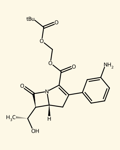 C[C@@H](O)[C@H]1C(=O)N2C(C(=O)OCOC(=O)C(C)(C)C)=C(c3cccc(N)c3)C[C@H]12